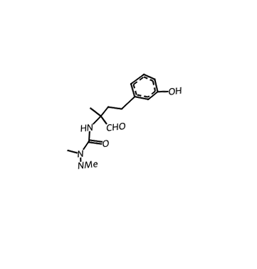 CNN(C)C(=O)NC(C)(C=O)CCc1cccc(O)c1